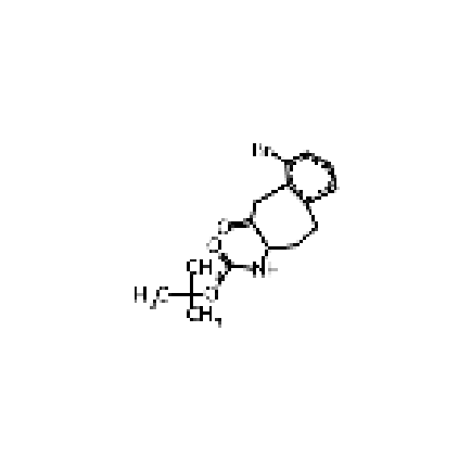 CC(C)(C)OC(=O)NC1CCc2cccc(Br)c2CC1=O